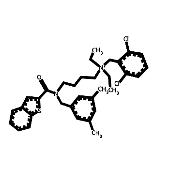 CC[N+](CC)(CCCCN(Cc1cc(C)cc(C)c1)C(=O)c1cc2ccccc2s1)Cc1c(Cl)cccc1Cl